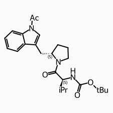 CC(=O)n1cc(C[C@@H]2CCCN2C(=O)[C@@H](NC(=O)OC(C)(C)C)C(C)C)c2ccccc21